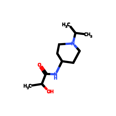 CC(O)C(=O)NC1CCN(C(C)C)CC1